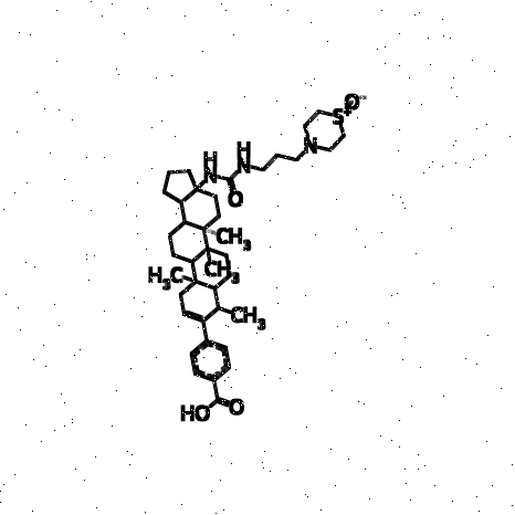 CC1C(c2ccc(C(=O)O)cc2)=CCC2(C)C1CCC1(C)C2CCC2C3CCCC3(NC(=O)NCCCN3CC[S+]([O-])CC3)CC[C@]21C